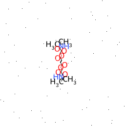 CC(C)NC(=O)C(=O)COC(=O)/C=C/C(=O)OCC(=O)C(=O)NC(C)C